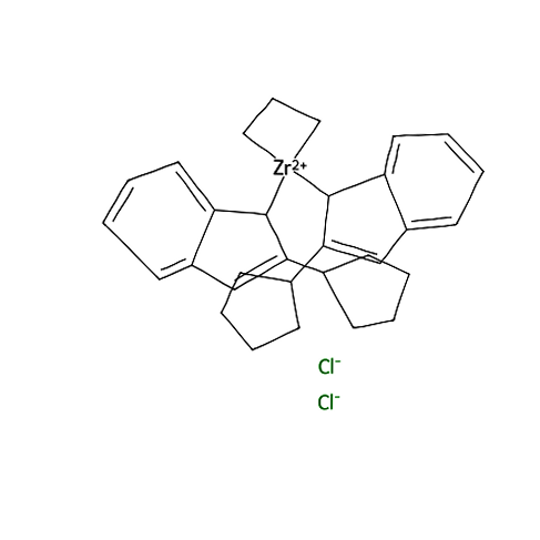 C1=C(C2CCCC2)[CH]([Zr+2]2([CH]3C(C4CCCC4)=Cc4ccccc43)[CH2]C[CH2]2)c2ccccc21.[Cl-].[Cl-]